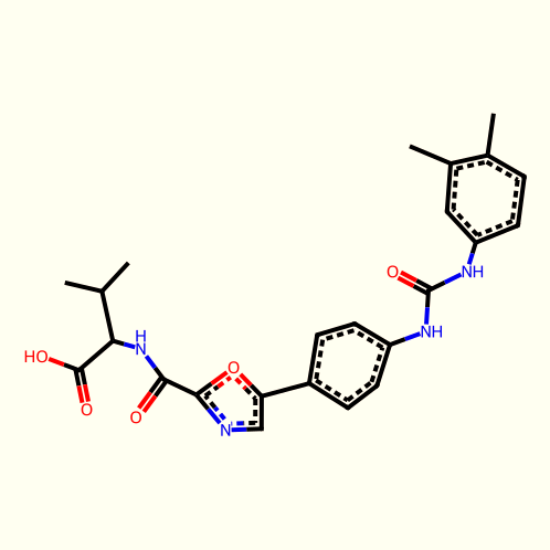 Cc1ccc(NC(=O)Nc2ccc(-c3cnc(C(=O)NC(C(=O)O)C(C)C)o3)cc2)cc1C